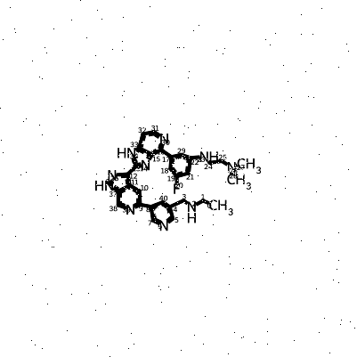 CCNCc1cncc(-c2cc3c(-c4nc5c(-c6cc(F)cc(NCCN(C)C)c6)nccc5[nH]4)n[nH]c3cn2)c1